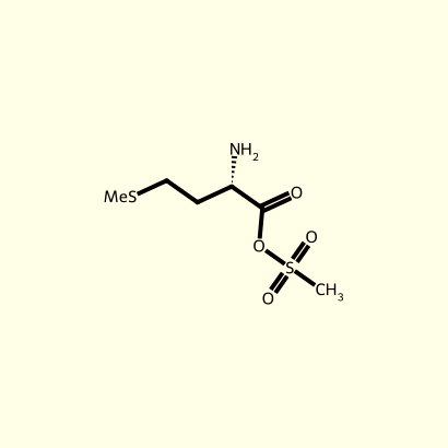 CSCC[C@H](N)C(=O)OS(C)(=O)=O